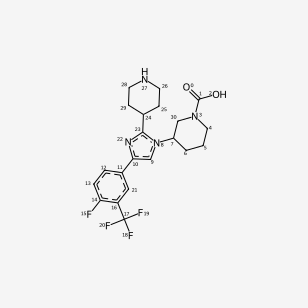 O=C(O)N1CCCC(n2cc(-c3ccc(F)c(C(F)(F)F)c3)nc2C2CCNCC2)C1